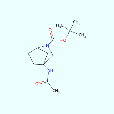 CC(=O)NC12CCC(C1)N(C(=O)OC(C)(C)C)C2